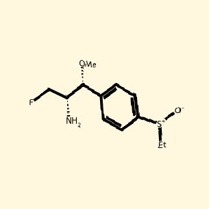 CC[S+]([O-])c1ccc([C@@H](OC)[C@H](N)CF)cc1